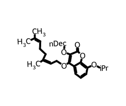 CCCCCCCCCCOc1c(OCC=C(C)CCC=C(C)C)c2cccc(OC(C)C)c2oc1=O